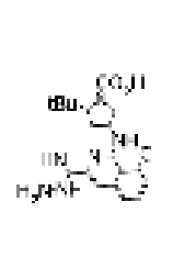 CC(C)(C)C1CC(Nc2nc(C(=N)NN)cc3cccc(Cl)c23)CN1C(=O)O